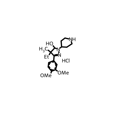 CCC1(C)C(c2ccc(OC)c(OC)c2)=NN(C2CCNCC2)C1O.Cl